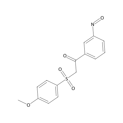 COc1ccc(S(=O)(=O)CC(=O)c2cccc(N=O)c2)cc1